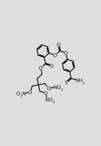 NC(=S)c1ccc(OC(=O)Oc2ccccc2C(=O)OCCC(CO[N+](=O)[O-])(CO[N+](=O)[O-])CO[N+](=O)[O-])cc1